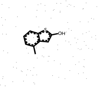 Cc1cccc2sc(O)cc12